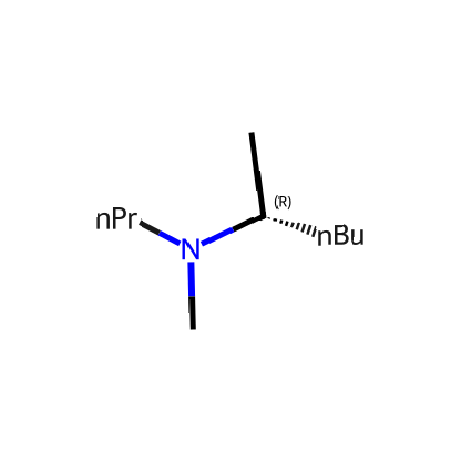 CCCC[C@@H](C)N(C)CCC